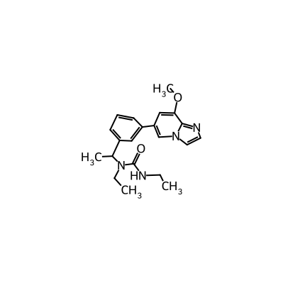 CCNC(=O)N(CC)C(C)c1cccc(-c2cc(OC)c3nccn3c2)c1